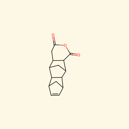 O=C1CC2C3CC(C2C(=O)O1)C1C2C=CC(C2)C31